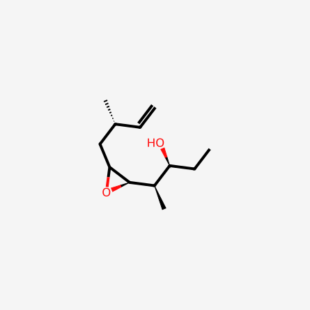 C=C[C@@H](C)CC1O[C@@H]1[C@H](C)[C@@H](O)CC